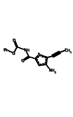 CC#Cc1sc(C(=O)NC(=O)OC(C)C)cc1N